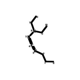 CCCN=C=NN(CC)CC